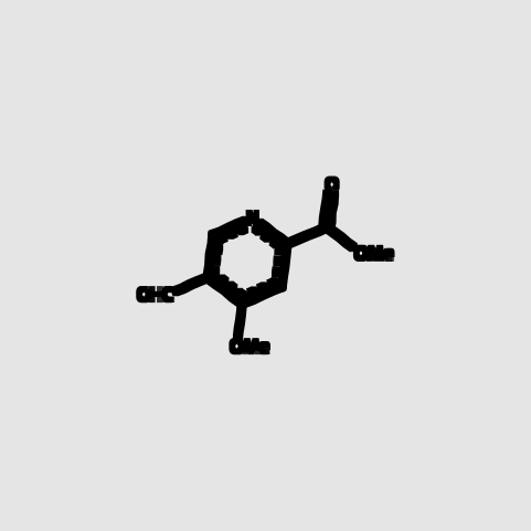 COC(=O)c1cc(OC)c(C=O)cn1